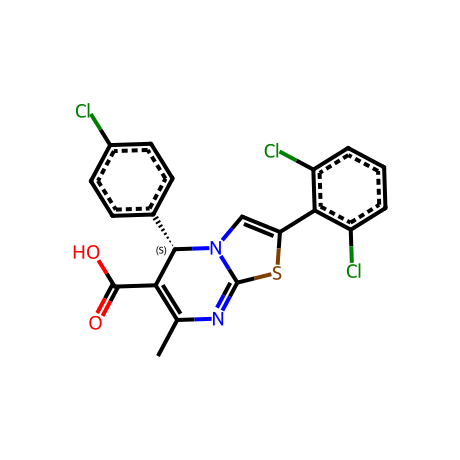 CC1=C(C(=O)O)[C@H](c2ccc(Cl)cc2)N2C=C(c3c(Cl)cccc3Cl)SC2=N1